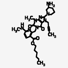 CC#CCn1c(N2CCCC(N)C2)nc2c1c(=O)n(Cc1nc(NC)ccc1C(=O)OCCCCCC)c(=O)n2C